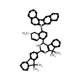 C[C@H]1C=Cc2c(C3NC(c4ccc5c(c4)C(C)(C)c4ccccc4-5)=NC4=C3c3ccccc3C4(C)C)ccc(-n3c4cc5ccccc5cc4c4c5ccccc5ccc43)c2C1